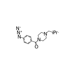 C[C](C)CN1CCN(C(=O)c2ccc(N=[N+]=[N-])cc2)CC1